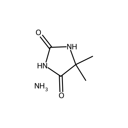 CC1(C)NC(=O)NC1=O.N